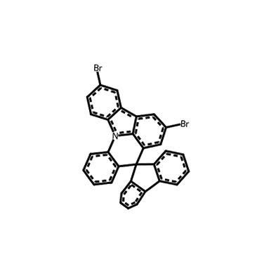 Brc1ccc2c(c1)c1cc(Br)cc3c1n2-c1ccccc1C31c2ccccc2-c2ccccc21